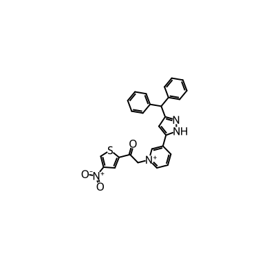 O=C(C[n+]1cccc(-c2cc(C(c3ccccc3)c3ccccc3)n[nH]2)c1)c1cc([N+](=O)[O-])cs1